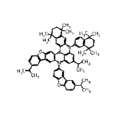 CC(C)c1cc2c3c(c1)N(c1ccc4oc5ccc(C(C)C)cc5c4c1)c1cc4c(cc1B3c1cc3c(cc1N2c1ccc2c(c1)C(C)(C)CCC2(C)C)C(C)(C)CCC3(C)C)oc1ccc(C(C)C)cc14